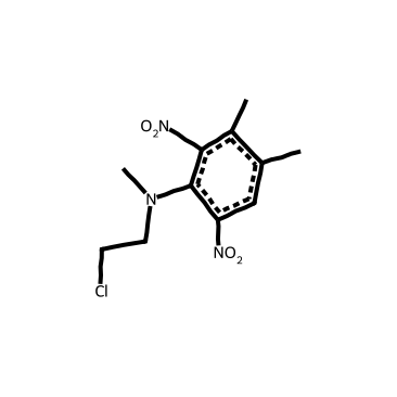 Cc1cc([N+](=O)[O-])c(N(C)CCCl)c([N+](=O)[O-])c1C